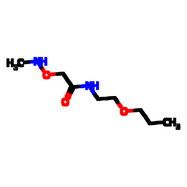 CCCOCCNC(=O)CONC